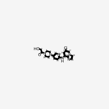 O=C(CO)N1CCN(c2ccc(Nc3cc(Cl)cn4ccnc34)nc2)CC1